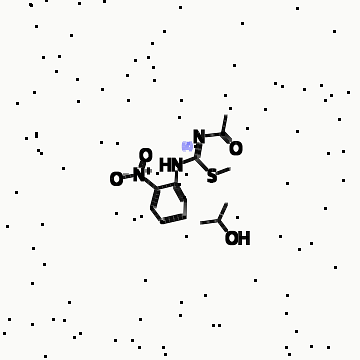 CC(C)O.CS/C(=N\C(C)=O)Nc1ccccc1[N+](=O)[O-]